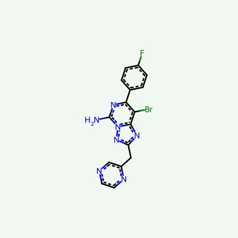 Nc1nc(-c2ccc(F)cc2)c(Br)c2nc(Cc3cnccn3)nn12